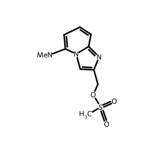 CNc1cccc2nc(COS(C)(=O)=O)cn12